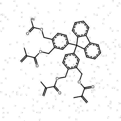 C=C(C)C(=O)OCc1ccc(C2(c3ccc(COC(=O)C(C)C)c(COC(=O)C(=C)C)c3)c3ccccc3-c3ccccc32)cc1COC(=O)C(=C)C